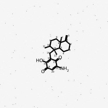 C=C1CCCC2C1(C)CCC(C)C2(C)CC1=C(O)C(=O)C=C(N)C1=O